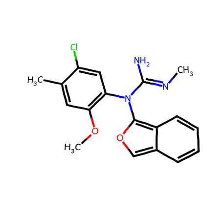 CN=C(N)N(c1cc(Cl)c(C)cc1OC)c1occ2ccccc12